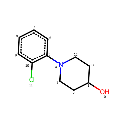 OC1CCN(c2ccccc2Cl)CC1